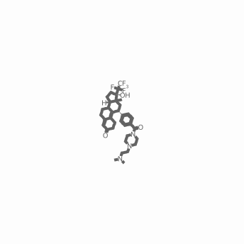 CN(C)CCN1CCN(C(=O)c2ccc([C@H]3CC4(C)[C@@H](CC[C@@]4(O)C(F)(F)C(F)(F)F)C4CCC5=CC(=O)CCC5=C43)cc2)CC1